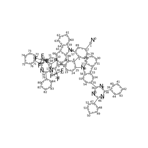 N#Cc1ccc(-c2cc(-c3ccc(C(F)(F)F)cc3C(F)(F)F)ccc2-n2c3ccccc3c3cc(-c4nc(-c5ccccc5)nc(-c5ccccc5)n4)ccc32)c(-n2c3ccccc3c3cc(-c4nc(-c5ccccc5)nc(-c5ccccc5)n4)ccc32)c1